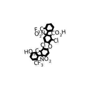 O=C(O)C1C(Cl)=C(OC2=C(Cl)C(C(=O)O)C(c3ccccc3C(F)(F)F)([N+](=O)[O-])C=C2)C=CC1(c1ccccc1C(F)(F)F)[N+](=O)[O-]